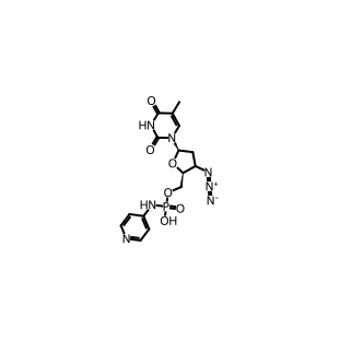 Cc1cn([C@H]2CC(N=[N+]=[N-])[C@@H](COP(=O)(O)Nc3ccncc3)O2)c(=O)[nH]c1=O